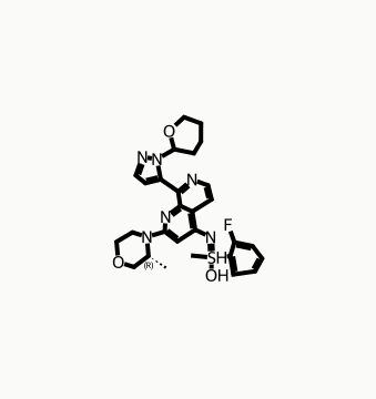 C[C@@H]1COCCN1c1cc(N=[SH](C)(O)c2ccccc2F)c2ccnc(-c3ccnn3C3CCCCO3)c2n1